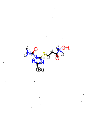 CN(C)C(=O)n1nc(C(C)(C)C)nc1SCCC(=O)[N+](C)(C)O